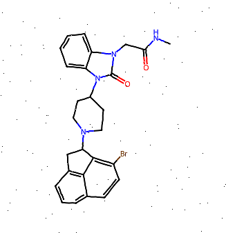 CNC(=O)Cn1c(=O)n(C2CCN(C3Cc4cccc5ccc(Br)c3c45)CC2)c2ccccc21